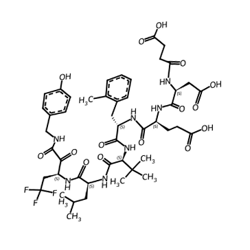 Cc1ccccc1C[C@H](NC(=O)[C@H](CCC(=O)O)NC(=O)[C@H](CC(=O)O)NC(=O)CCC(=O)O)C(=O)N[C@H](C(=O)N[C@@H](CC(C)C)C(=O)N[C@@H](CC(F)(F)F)C(=O)C(=O)NCc1ccc(O)cc1)C(C)(C)C